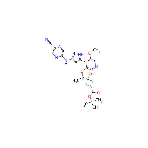 COc1cncc(O[C@H](C)C2(O)CN(C(=O)OC(C)(C)C)C2)c1-c1cc(Nc2cnc(C#N)cn2)n[nH]1